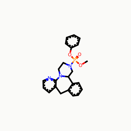 COP(=O)(Oc1ccccc1)N1CCN2c3ncccc3Cc3ccccc3C2C1